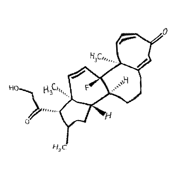 CC1C[C@H]2[C@@H]3CCC4=CC(=O)C=C[C@]4(C)[C@@]3(F)C=C[C@]2(C)[C@H]1C(=O)CO